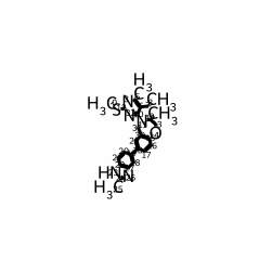 CSc1nc(C)c(C(C)C)c(N2CCOc3ccc(-c4ccc5[nH]c(C)nc5c4)cc3C2)n1